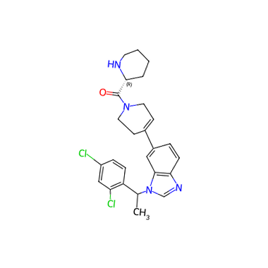 CC(c1ccc(Cl)cc1Cl)n1cnc2ccc(C3=CCN(C(=O)[C@H]4CCCCN4)CC3)cc21